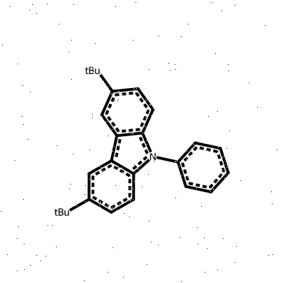 CC(C)(C)c1ccc2c(c1)c1cc(C(C)(C)C)ccc1n2-c1ccccc1